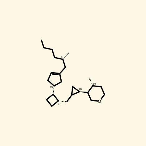 CCCC[C@H](C)CC1=CC[C@@H](C2CC[C@H]2CC2C[C@H]2C2COCC[C@H]2C)C1